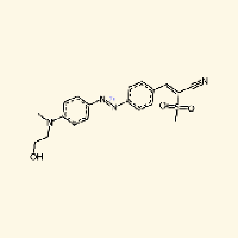 CN(CCO)c1ccc(/N=N/c2ccc(C=C(C#N)S(C)(=O)=O)cc2)cc1